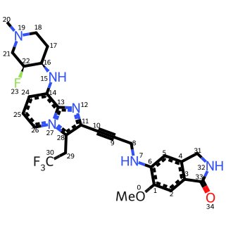 COc1cc2c(cc1NCC#Cc1nc3c(N[C@@H]4CCN(C)C[C@@H]4F)cccn3c1CC(F)(F)F)CNC2=O